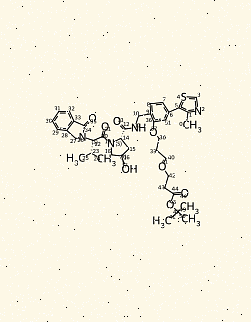 Cc1ncsc1-c1ccc(CNC(=O)[C@@H]2C[C@@H](O)CN2C(=O)[C@H](C(C)C)N2Cc3ccccc3C2=O)c(OCCCOCCC(=O)OC(C)(C)C)c1